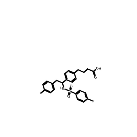 Cc1ccc(CC(NS(=O)(=O)c2ccc(F)cc2)c2ccc(CCCC(=O)O)cc2)cc1